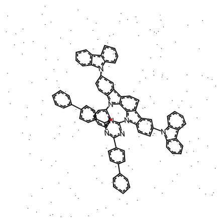 c1ccc(-c2ccc(-c3nc(-c4ccc(-c5ccccc5)cc4)nc(-n4c5ccc(-n6c7ccccc7c7ccccc76)cc5c5ccc6c7cc(-n8c9ccccc9c9ccccc98)ccc7n(-c7ccccc7)c6c54)n3)cc2)cc1